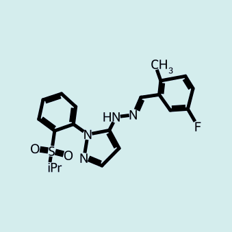 Cc1ccc(F)cc1C=NNc1ccnn1-c1ccccc1S(=O)(=O)C(C)C